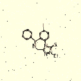 CCn1nc2n(c1=S)-c1ccc(I)cc1C(c1ccccc1)=NC2